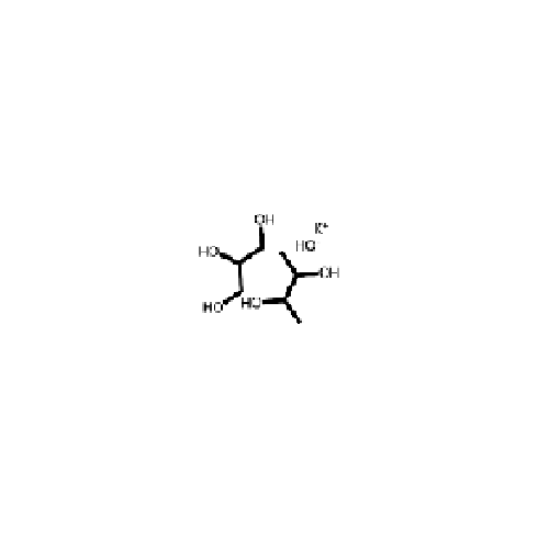 CC(O)C(C)O.OCC(O)CO.[K+].[OH-]